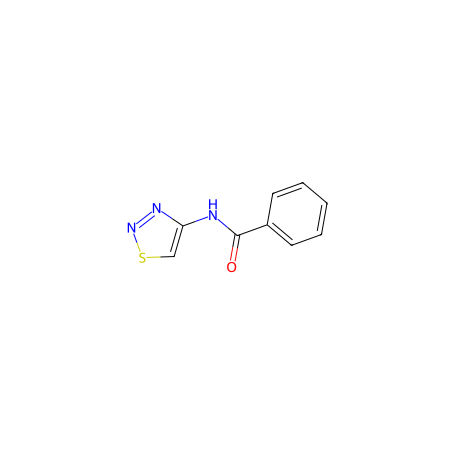 O=C(Nc1csnn1)c1ccccc1